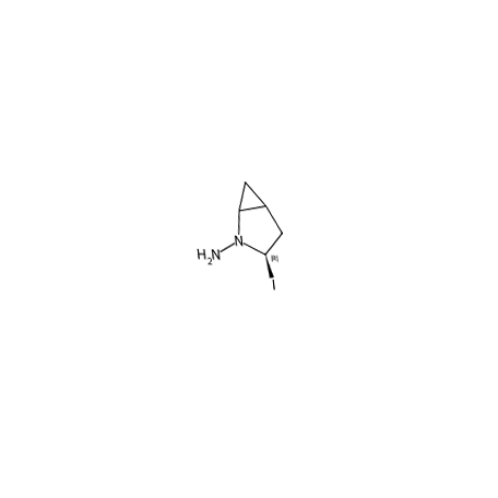 NN1C2CC2C[C@H]1I